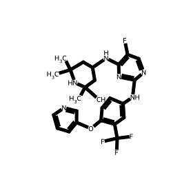 CC1(C)CC(Nc2nc(Nc3ccc(Oc4cccnc4)c(C(F)(F)F)c3)ncc2F)CC(C)(C)N1